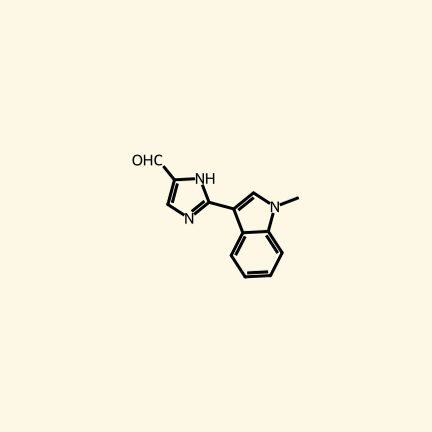 Cn1cc(-c2ncc(C=O)[nH]2)c2ccccc21